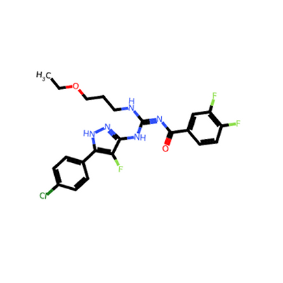 CCOCCCN/C(=N/C(=O)c1ccc(F)c(F)c1)Nc1n[nH]c(-c2ccc(Cl)cc2)c1F